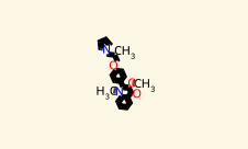 COc1c(-c2ccc(OCC(C)Cn3cccc3)cc2)n(C)c2ccccc2c1=O